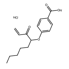 C=CC(=O)C(CCCCC)Oc1ccc(C(=O)O)cc1.Cl